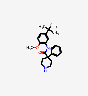 COc1ccc(C(C)(C)C)cc1NC(=O)C1(c2ccccc2)CCNCC1